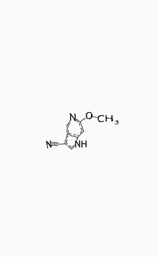 COc1cc2[nH]cc(C#N)c2cn1